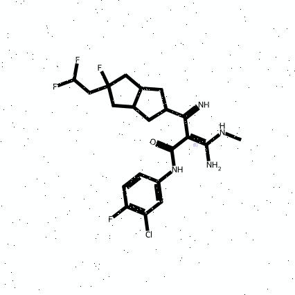 CN/C(N)=C(\C(=N)C1CC2CC(F)(CC(F)F)CC2C1)C(=O)Nc1ccc(F)c(Cl)c1